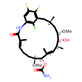 CO[C@H]1C[C@H](C)Cc2c(F)c(F)cc(c2F)NC(=O)/C(C)=C/CC[C@H](OC)[C@@H](OC(N)=O)/C(C)=C/[C@H](C)[C@H]1O